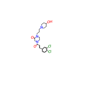 O=C(/C=C/c1ccc(Cl)c(Cl)c1)N1CCN(CCCN2CCC(O)CC2)C(=O)C1